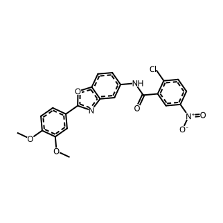 COc1ccc(-c2nc3cc(NC(=O)c4cc([N+](=O)[O-])ccc4Cl)ccc3o2)cc1OC